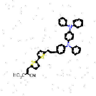 N#C/C(=C\c1ccc(-c2ccc(/C=C/c3ccc(N(c4ccccc4)c4ccc(N(c5ccccc5)c5ccccc5)cc4)cc3)s2)s1)C(=O)O